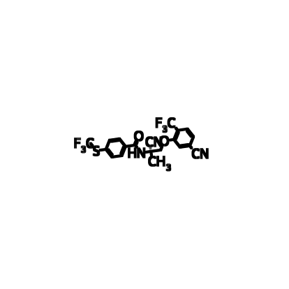 C[C@](C#N)(COc1cc(C#N)ccc1C(F)(F)F)NC(=O)c1ccc(SC(F)(F)F)cc1